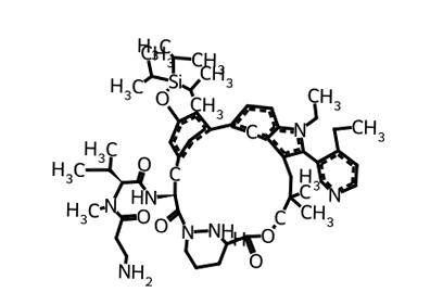 CCc1ccncc1-c1c2c3cc(ccc3n1CC)-c1cc(cc(O[Si](C(C)C)(C(C)C)C(C)C)c1)C[C@H](NC(=O)[C@H](C(C)C)N(C)C(=O)CCN)C(=O)N1CCC[C@H](N1)C(=O)OCC(C)(C)C2